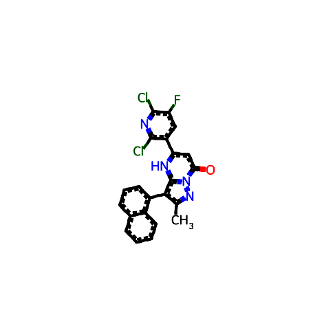 Cc1nn2c(=O)cc(-c3cc(F)c(Cl)nc3Cl)[nH]c2c1-c1cccc2ccccc12